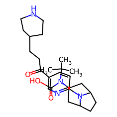 CC(C)(C)N(C(=O)O)C1CC2CCC(C1)N2c1ccc(C(=O)CCC2CCNCC2)cn1